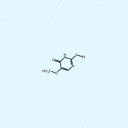 CCSc1ncc(OC(=O)O)c(=O)[nH]1